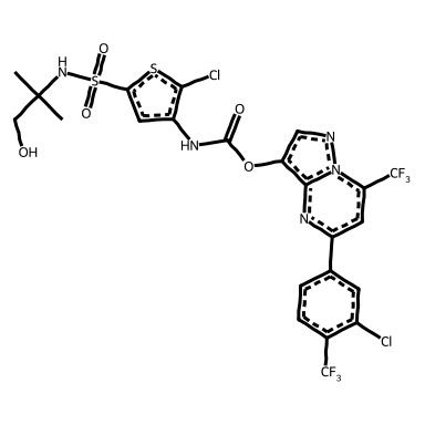 CC(C)(CO)NS(=O)(=O)c1cc(NC(=O)Oc2cnn3c(C(F)(F)F)cc(-c4ccc(C(F)(F)F)c(Cl)c4)nc23)c(Cl)s1